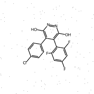 Oc1nnc(O)c(-c2c(F)cc(F)cc2F)c1-c1ccc(Cl)cc1